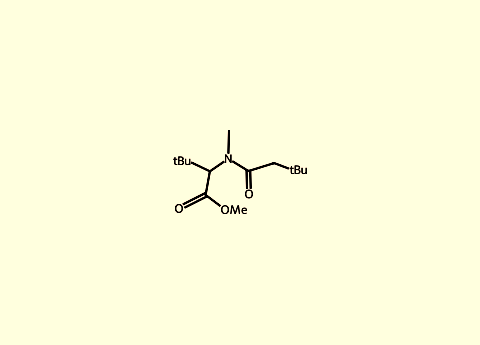 COC(=O)C(N(C)C(=O)CC(C)(C)C)C(C)(C)C